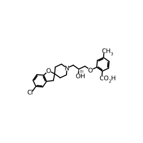 Cc1ccc(C(=O)O)c(OC[C@@H](O)CN2CCC3(CC2)Cc2cc(Cl)ccc2O3)c1